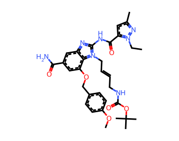 CCn1nc(C)cc1C(=O)Nc1nc2cc(C(N)=O)cc(OCc3ccc(OC)cc3)c2n1CC=CCNC(=O)OC(C)(C)C